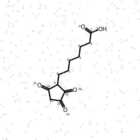 O=C(O)CCCCCCC1C(=O)CC(=O)C1=O